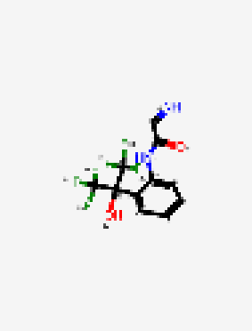 N=CC(=O)Nc1ccccc1C(O)(C(F)(F)F)C(F)(F)F